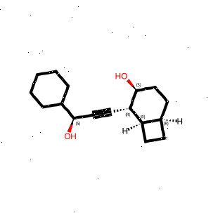 O[C@H](C#C[C@H]1[C@@H]2C[C][C@@H]2CC[C@@H]1O)C1CCCCC1